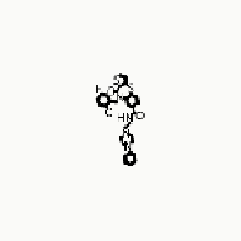 O=C(NCCN1CCN(c2ccccc2)CC1)c1ccc2c(c1)N(Cc1cc(F)ccc1Cl)C(=O)c1sccc1S2